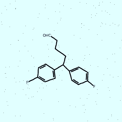 O=CCCCC(c1ccc(F)cc1)c1ccc(F)cc1